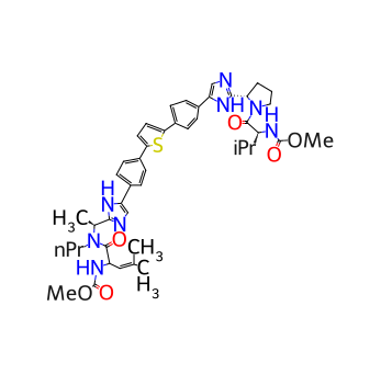 CCCN(C(=O)C(C=C(C)C)NC(=O)OC)[C@@H](C)c1ncc(-c2ccc(-c3ccc(-c4ccc(-c5cnc([C@@H]6CCCN6C(=O)[C@@H](NC(=O)OC)C(C)C)[nH]5)cc4)s3)cc2)[nH]1